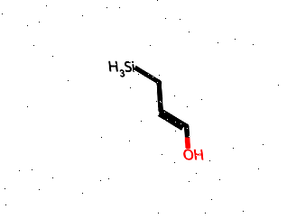 OC=CC[SiH3]